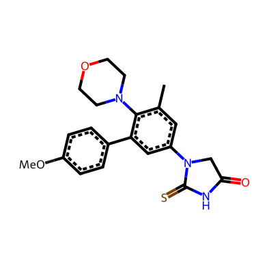 COc1ccc(-c2cc(N3CC(=O)NC3=S)cc(C)c2N2CCOCC2)cc1